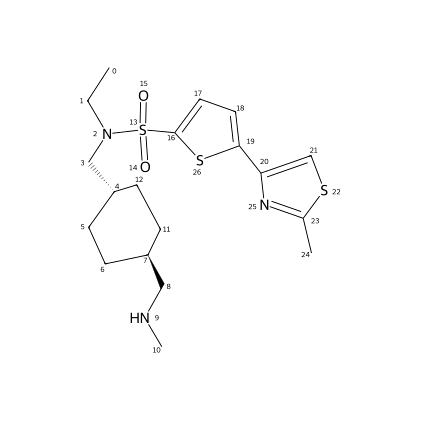 CCN(C[C@H]1CC[C@H](CNC)CC1)S(=O)(=O)c1ccc(-c2csc(C)n2)s1